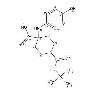 CC(C)(C)OC(=O)N1CCC(NC(=O)/C=C\C(=O)O)(C(=O)O)CC1